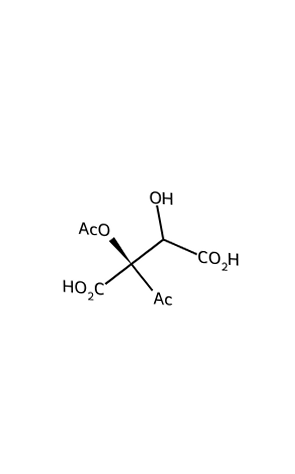 CC(=O)O[C@@](C(C)=O)(C(=O)O)C(O)C(=O)O